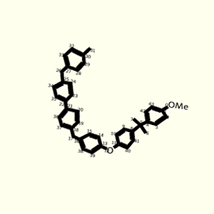 COc1ccc(C(C)(C)c2ccc(Oc3ccc(Cc4ccc(-c5ccc(Cc6ccc(C)cc6)cc5)cc4)cc3)cc2)cc1